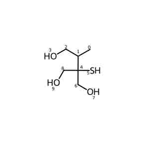 CC(CO)C(S)(CO)CO